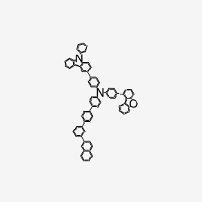 c1ccc(-n2c3ccccc3c3cc(-c4ccc(N(c5ccc(-c6ccc(-c7cccc(-c8ccc9ccccc9c8)c7)cc6)cc5)c5ccc(-c6cccc7oc8ccccc8c67)cc5)cc4)ccc32)cc1